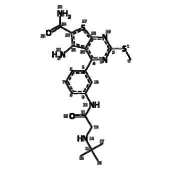 CSc1nc(-c2cccc(NC(=O)CNC(C)(C)C)c2)c2c(N)c(C(N)=O)sc2n1